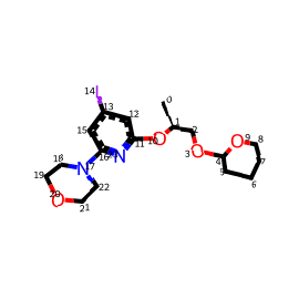 C[C@@H](COC1CCCCO1)Oc1cc(I)cc(N2CCOCC2)n1